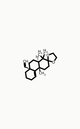 C=C[C@]12CCCC=C1[C@@]1(C)CCC3(OCCO3)C(C)(C)[C@@H]1CC2